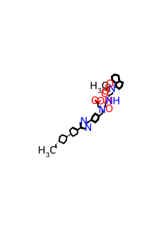 CCC[C@H]1CC[C@H](C2CC=C(c3cnc(-c4ccc(CN(CC(=O)O)C(=O)CNC(=O)CN(c5cccc6ccccc56)S(C)(=O)=O)cc4)nc3)CC2)CC1